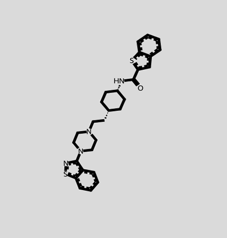 O=C(N[C@H]1CC[C@@H](CCN2CCN(c3nsc4ccccc34)CC2)CC1)c1cc2ccccc2s1